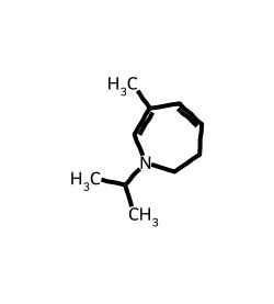 CC1=CN(C(C)C)CCC=C1